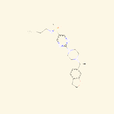 COCCN=[S@](C)(=O)c1cnc(N2CCN([C@@H](C)c3ccc4c(c3)OCC4)CC2)nc1